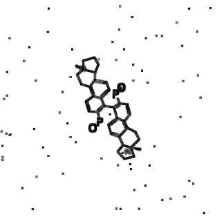 C[C@@]12CCCC1c1ccc3c(-c4c(P=O)ccc5c6c(ccc45)C4CCC[C@@]4(C)CC6)c(P=O)ccc3c1CC2